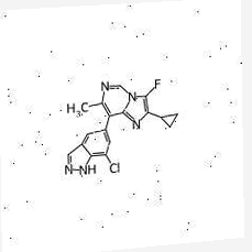 Cc1ncn2c(F)c(C3CC3)nc2c1-c1cc(Cl)c2[nH]ncc2c1